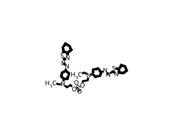 CCN(CCOS(=O)(=O)OCCN(CC)c1ccc(/N=N/c2nc3ccccc3s2)cc1)c1ccc(/N=N/c2nc3ccccc3s2)cc1